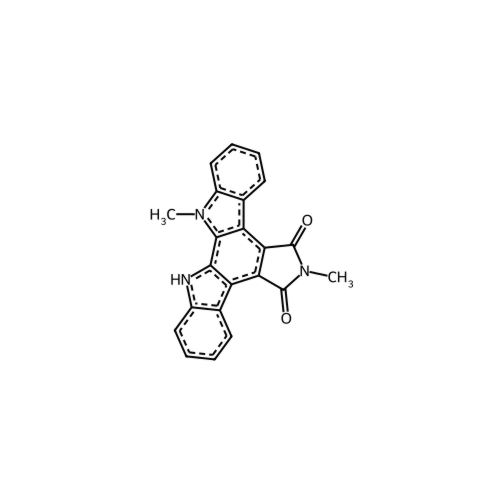 CN1C(=O)c2c(c3c4ccccc4n(C)c3c3[nH]c4ccccc4c23)C1=O